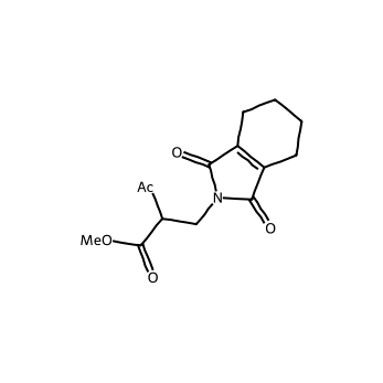 COC(=O)C(CN1C(=O)C2=C(CCCC2)C1=O)C(C)=O